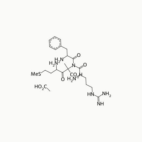 CC(=O)O.CSCCC(N)C(=O)C(C)(C(=O)O)N(C(=O)C(N)CCCNC(=N)N)C(=O)C(N)Cc1ccccc1